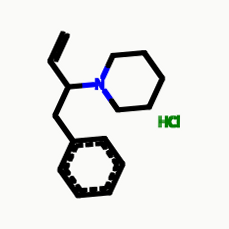 C=CC(Cc1ccccc1)N1CCCCC1.Cl